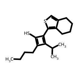 CCCCC1=C(S)C(c2scc3c2CCCC3)=C1C(C)C